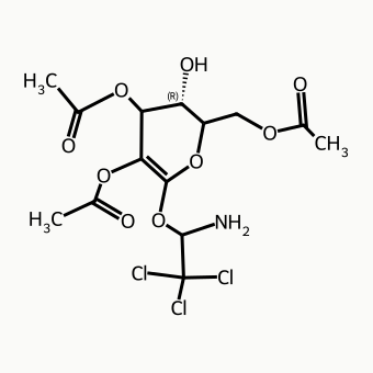 CC(=O)OCC1OC(OC(N)C(Cl)(Cl)Cl)=C(OC(C)=O)C(OC(C)=O)[C@@H]1O